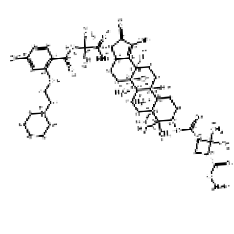 CNOC(=O)[C@@H]1C[C@H](C(=O)O[C@H]2CC[C@]3(C)[C@H]4CC[C@@H]5C6=C(C(C)C)C(=O)C[C@]6(NC(=O)C(C)(C)NC(=O)c6ccc(Cl)cc6OCCN6CCCCC6)CC[C@@]5(C)[C@]4(C)CC[C@H]3C2(C)C)C1(C)C